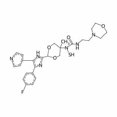 CC1(N(S)C(=O)NCCN2CCOCC2)COC(c2nc(-c3ccc(F)cc3)c(-c3ccncc3)[nH]2)OC1